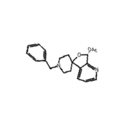 CC(=O)O[C@H]1OC2(CCN(Cc3ccccc3)CC2)c2cccnc21